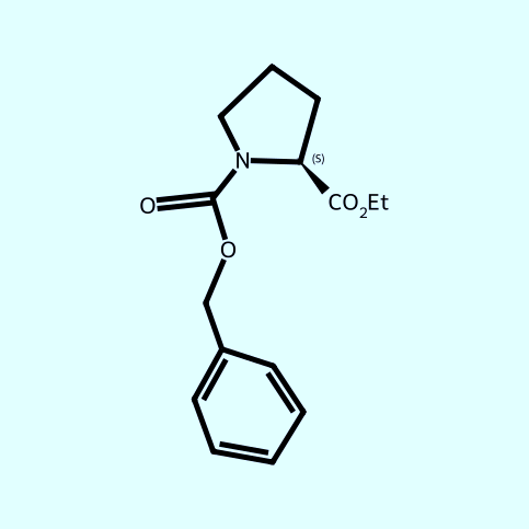 CCOC(=O)[C@@H]1CCCN1C(=O)OCc1ccccc1